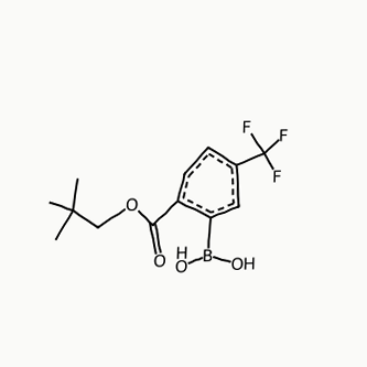 CC(C)(C)COC(=O)c1ccc(C(F)(F)F)cc1B(O)O